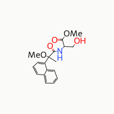 COC(=O)C(CO)NC(=O)C(C)(OC)c1cccc2ccccc12